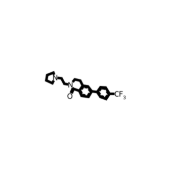 O=C1c2ccc(-c3ccc(C(F)(F)F)cc3)cc2CCN1CCN1CCCC1